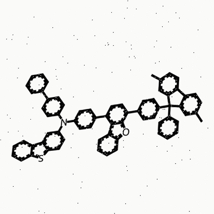 Cc1ccc2c(c1)C(c1ccccc1)(c1ccc(-c3ccc(-c4ccc(N(c5ccc(-c6ccccc6)cc5)c5ccc6sc7ccccc7c6c5)cc4)c4c3oc3ccccc34)cc1)c1cc(C)ccc1-2